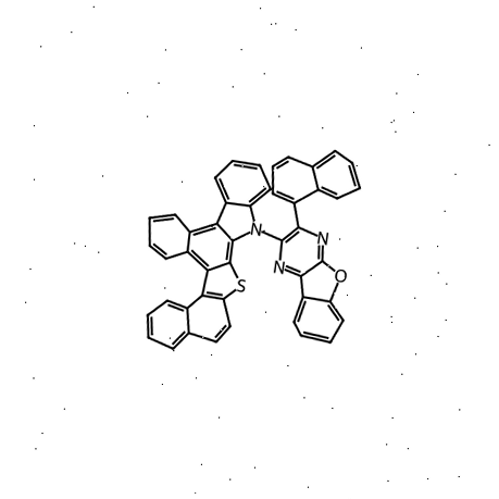 c1ccc2c(-c3nc4oc5ccccc5c4nc3-n3c4ccccc4c4c5ccccc5c5c(sc6ccc7ccccc7c65)c43)cccc2c1